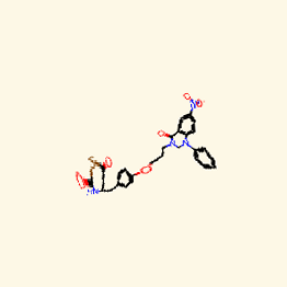 O=C1NC(Cc2ccc(OCCCN3CN(c4ccccc4)c4ccc([N+](=O)[O-])cc4C3=O)cc2)C(=O)S1